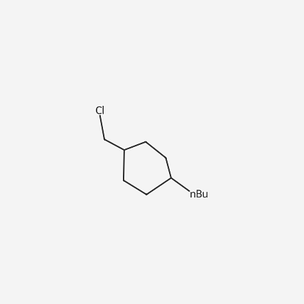 CCCCC1CCC(CCl)CC1